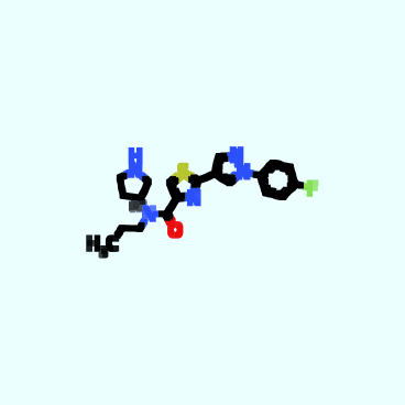 CCCN(C(=O)c1csc(-c2cnn(-c3ccc(F)cc3)c2)n1)[C@@H]1CCNC1